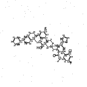 COC(=O)C1=C(CN2CCN(c3cc(F)cc(N4CCc5nc(-c6ncccn6)ncc5C4C)n3)C(C(=O)O)C2)NC(c2nccs2)=N[C@H]1c1ccc(F)cc1Cl